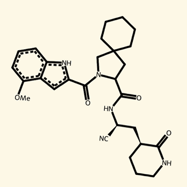 COc1cccc2[nH]c(C(=O)N3CC4(CCCCC4)CC3C(=O)N[C@H](C#N)C[C@@H]3CCCNC3=O)cc12